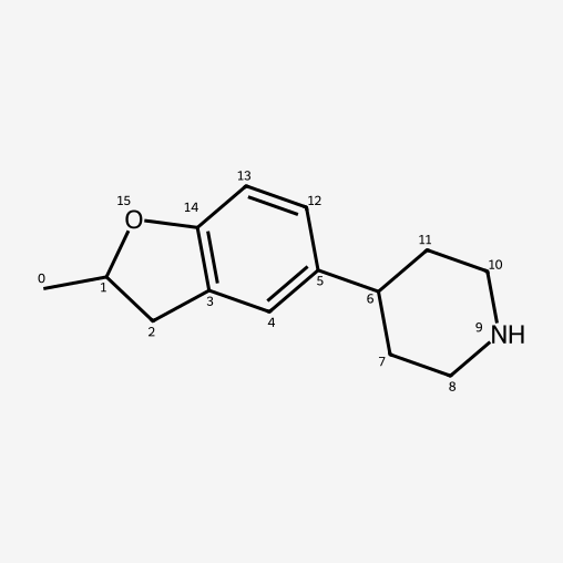 CC1Cc2cc(C3CCNCC3)ccc2O1